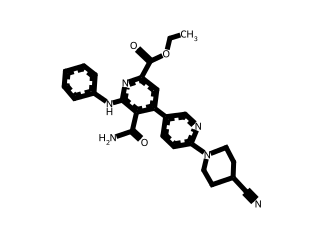 CCOC(=O)c1cc(-c2ccc(N3CCC(C#N)CC3)nc2)c(C(N)=O)c(Nc2ccccc2)n1